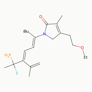 C=C(C)/C(=C\C=C(/C(C)CC)N1CC(CCOCC)=C(C)C1=O)C(C)(F)P